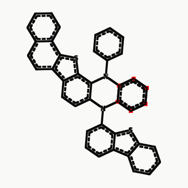 c1ccc(N(c2ccc3c(sc4c5ccccc5ccc34)c2N(c2ccccc2)c2ccccc2)c2cccc3c2sc2ccccc23)cc1